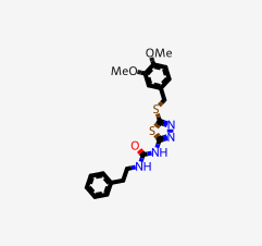 COc1ccc(CSc2nnc(NC(=O)NCCc3ccccc3)s2)cc1OC